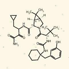 CC(C)(C)[C@H](NC(=O)NC1(Cc2cccc(O)c2)CCCCC1)C(=O)N1C[C@H]2[C@@H]([C@H]1C(=O)NC(CC1CC1)C(=O)C(N)=O)C2(C)C